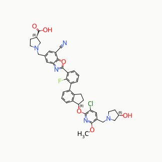 COc1nc(O[C@@H]2CCc3c(-c4cccc(-c5nc6cc(CN7CC[C@@H](C(=O)O)C7)cc(C#N)c6o5)c4F)cccc32)c(Cl)cc1CN1CC[C@@H](O)C1